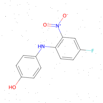 O=[N+]([O-])c1cc(F)ccc1Nc1ccc(O)cc1